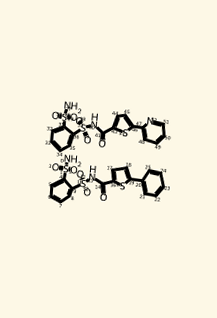 NS(=O)(=O)c1ccccc1S(=O)(=O)NC(=O)c1ccc(-c2ccccc2)s1.NS(=O)(=O)c1ccccc1S(=O)(=O)NC(=O)c1ccc(-c2ccccn2)s1